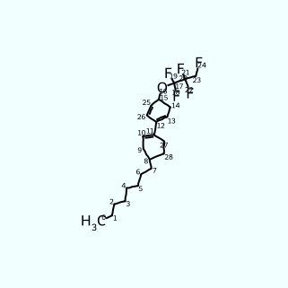 CCCCCCCCC1CC=C(C2=CCC(OC(F)(F)C(F)(F)CF)C=C2)CC1